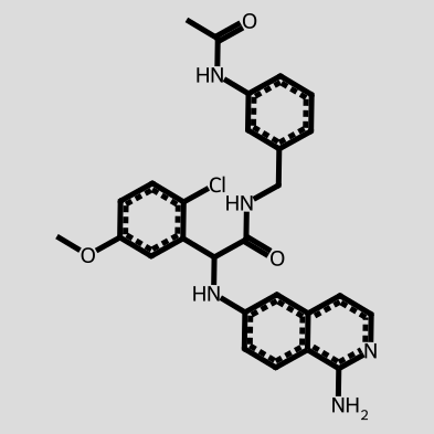 COc1ccc(Cl)c(C(Nc2ccc3c(N)nccc3c2)C(=O)NCc2cccc(NC(C)=O)c2)c1